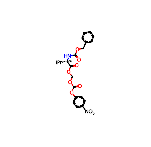 CC(C)[C@H](NC(=O)OCc1ccccc1)C(=O)OCOC(=O)Oc1ccc([N+](=O)[O-])cc1